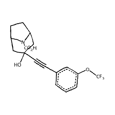 O=C(O)N1C2CCC1CC(O)(C#Cc1cccc(OC(F)(F)F)c1)C2